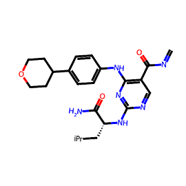 C=NC(=O)c1cnc(N[C@H](CC(C)C)C(N)=O)nc1Nc1ccc(C2CCOCC2)cc1